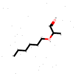 CCCCCCOC(C)C=O